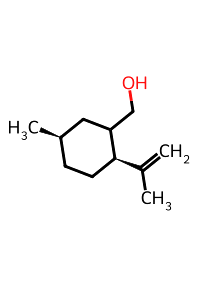 C=C(C)[C@H]1CC[C@@H](C)CC1CO